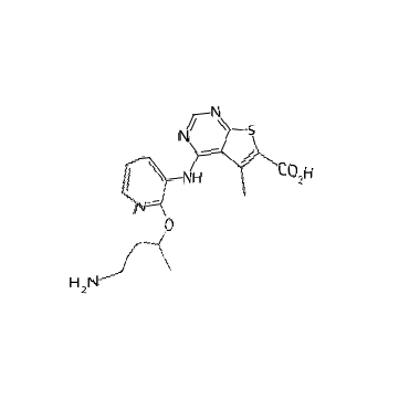 Cc1c(C(=O)O)sc2ncnc(Nc3cccnc3OC(C)CCN)c12